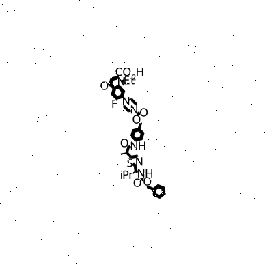 CCn1c(C(=O)O)cc(=O)c2cc(F)c(N3CCN(C(=O)OCc4ccc(NC(=O)[C@H](C)c5cnc([C@@H](NC(=O)OCc6ccccc6)C(C)C)s5)cc4)CC3)cc21